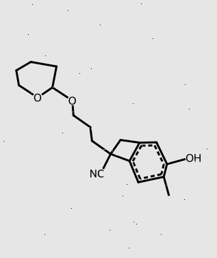 Cc1cc2c(cc1O)CC2(C#N)CCCOC1CCCCO1